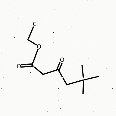 CC(C)(C)CC(=O)CC(=O)OCCl